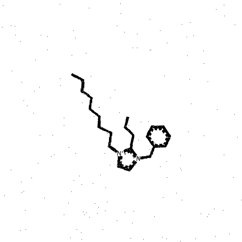 CCCCCCCCC[n+]1ccn(Cc2ccccc2)c1CCC